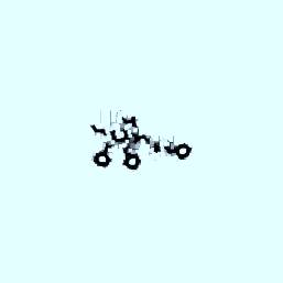 C=CCO[C@@H]1O[C@H](C(O)C(C)=S)[C@@H](OC(=O)CCNC(=O)OCc2ccccc2)[C@H](OCc2ccccc2)[C@H]1OCc1ccccc1